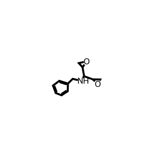 c1ccc(CNC(C2CO2)C2CO2)cc1